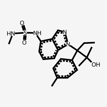 CCC(c1ccc(C)cc1)(n1ncc2c(NS(=O)(=O)NC)cccc21)C(C)(C)O